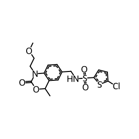 COCCN1C(=O)OC(C)c2cc(CNS(=O)(=O)c3ccc(Cl)s3)ccc21